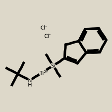 CC(C)(C)[NH][Ti+2][Si](C)(C)C1=Cc2ccccc2C1.[Cl-].[Cl-]